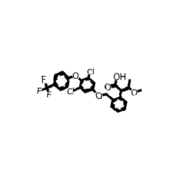 COC(C)=C(C(=O)O)c1ccccc1COc1cc(Cl)c(Oc2ccc(C(F)(F)F)cc2)c(Cl)c1